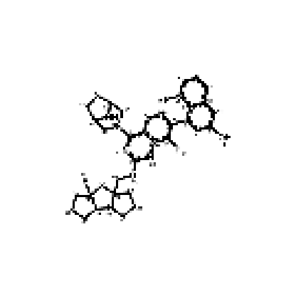 Oc1cc(-c2ncc3c(N4CC5CCC(C4)N5)nc(OCC45CCCN4C4CCCC4(F)C5)nc3c2F)c2c(I)cccc2c1